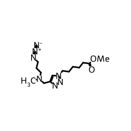 COC(=O)CCCCCn1cc(CN(C)CCCN=[N+]=[N-])nn1